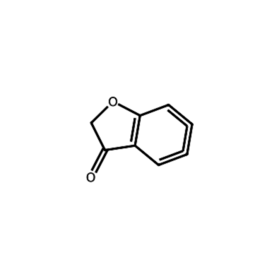 O=C1COC2=C1C=C=C=C2